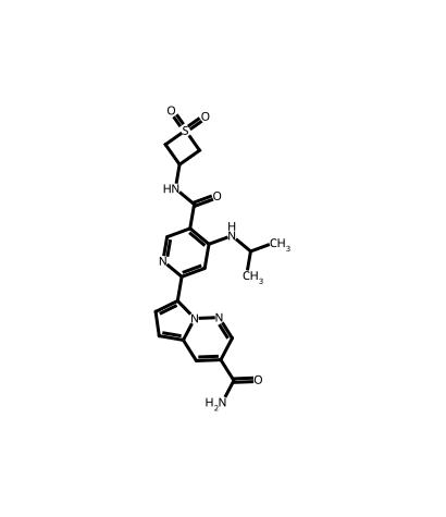 CC(C)Nc1cc(-c2ccc3cc(C(N)=O)cnn23)ncc1C(=O)NC1CS(=O)(=O)C1